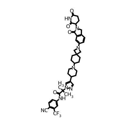 CC(C)(C(=O)Nc1ccc(C#N)c(C(F)(F)F)c1)n1cc(C2CCN(C3CCC4(CC3)CN(c3ccc5c(c3)C(=O)N(C3CCC(=O)NC3=O)C5)C4)CC2)cn1